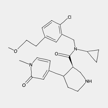 COCCc1ccc(Cl)c(CN(C(=O)[C@H]2CNCCC2c2ccn(C)c(=O)c2)C2CC2)c1